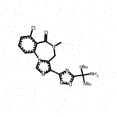 CCCCC(N)(CCCC)c1nc(-c2ncn3c2CN(C)C(=O)c2c(Cl)cccc2-3)no1